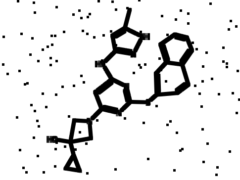 Cc1cc(Nc2cc(N3CC(O)(C4CC4)C3)nc(Sc3ccc4ccccc4c3)n2)n[nH]1